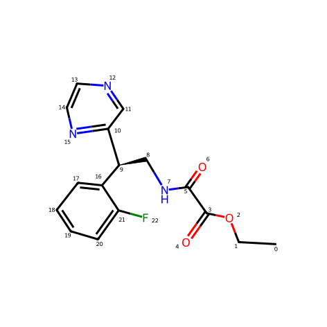 CCOC(=O)C(=O)NC[C@H](c1cnccn1)c1ccccc1F